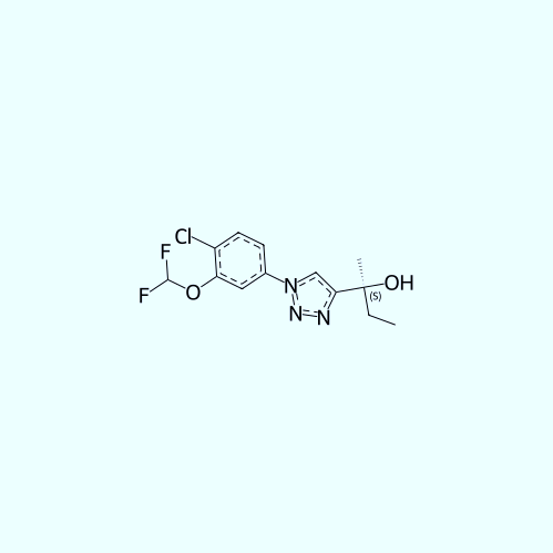 CC[C@](C)(O)c1cn(-c2ccc(Cl)c(OC(F)F)c2)nn1